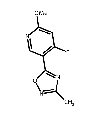 COc1cc(F)c(-c2nc(C)no2)cn1